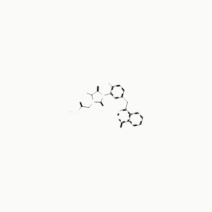 CNC(=O)CN1C(=O)N(c2cc(Cc3n[nH]c(=O)c4ccccc34)ccc2F)C(=O)C1C